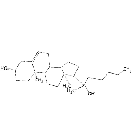 CCCCCC(C)(O)[C@H]1CCC2C3CC=C4C[C@@H](O)CC[C@]4(C)C3CC[C@@]21C